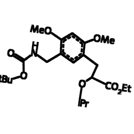 CCOC(=O)C(Cc1cc(CNC(=O)OC(C)(C)C)c(OC)cc1OC)OC(C)C